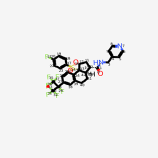 O=C(NCc1ccncc1)[C@H]1CC[C@]2(S(=O)(=O)c3ccc(F)cc3)c3ccc(C(F)(C(F)(F)F)C(F)(F)F)cc3CC[C@H]12